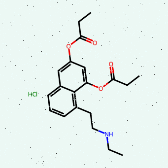 CCNCCc1cccc2cc(OC(=O)CC)cc(OC(=O)CC)c12.Cl